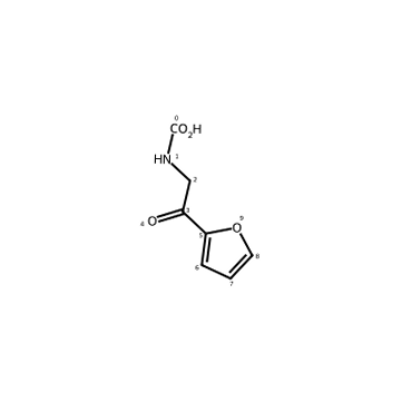 O=C(O)NCC(=O)c1ccco1